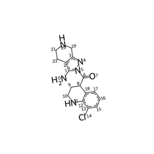 Nc1c2c(nn1C(=O)C1CCNc3c(Cl)cccc31)CNCC2